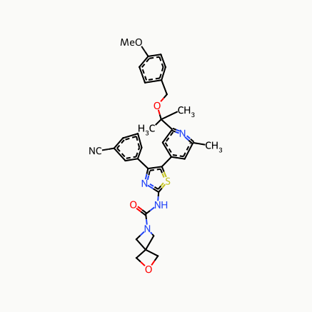 COc1ccc(COC(C)(C)c2cc(-c3sc(NC(=O)N4CC5(COC5)C4)nc3-c3cccc(C#N)c3)cc(C)n2)cc1